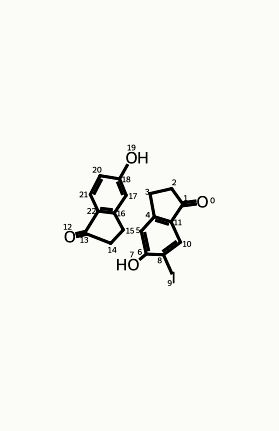 O=C1CCc2cc(O)c(I)cc21.O=C1CCc2cc(O)ccc21